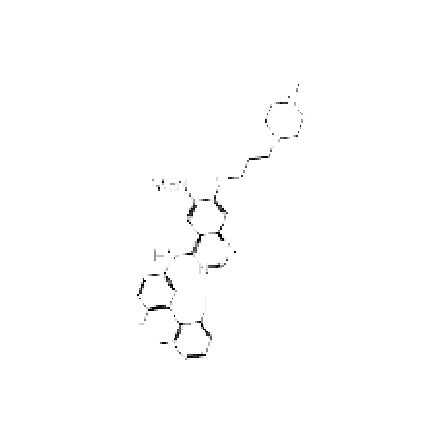 CNc1cc2c(Nc3ccc(F)c(-c4c(F)cccc4F)c3)ncnc2cc1OCCCN1CCN(C)CC1